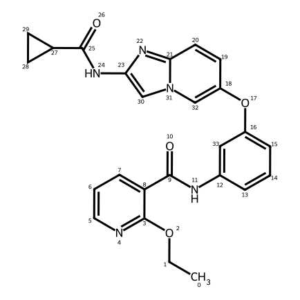 CCOc1ncccc1C(=O)Nc1cccc(Oc2ccc3nc(NC(=O)C4CC4)cn3c2)c1